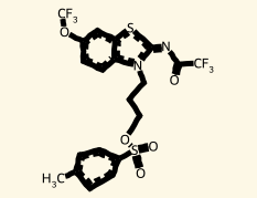 Cc1ccc(S(=O)(=O)OCCCn2c(=NC(=O)C(F)(F)F)sc3cc(OC(F)(F)F)ccc32)cc1